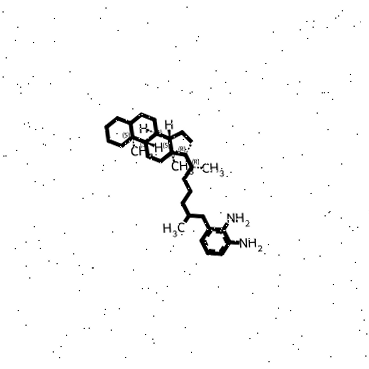 CC(CCC[C@@H](C)[C@H]1CC[C@H]2[C@@H]3CCC4CCCC[C@]4(C)[C@H]3CC[C@]12C)Cc1cccc(N)c1N